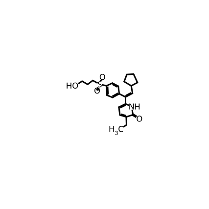 CCc1ccc(C(=CC2CCCC2)c2ccc(S(=O)(=O)CCCO)cc2)[nH]c1=O